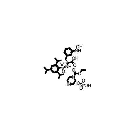 CC(C)c1cc(C(C)C)c(S(=O)(=O)N[C@@H](Cc2cccc(NO)c2)C(=O)O)c(C(C)C)c1.CCOC(=O)N1CCNCC1.O=S(=O)(O)O